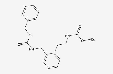 CC(C)(C)OC(=O)NCCc1ccccc1CNC(=O)OCc1ccccc1